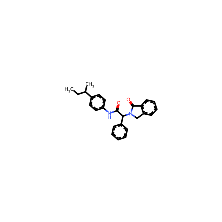 CCC(C)c1ccc(NC(=O)C(c2ccccc2)N2Cc3ccccc3C2=O)cc1